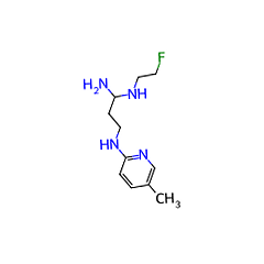 Cc1ccc(NCCC(N)NCCF)nc1